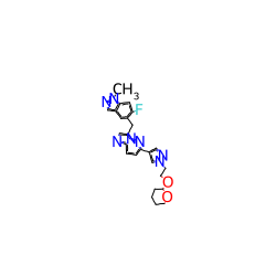 Cn1ncc2cc(Cc3cnc4ccc(-c5cnn(CCOC6CCCCO6)c5)nn34)c(F)cc21